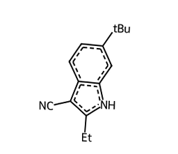 CCc1[nH]c2cc(C(C)(C)C)ccc2c1C#N